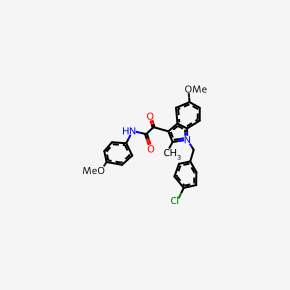 COc1ccc(NC(=O)C(=O)c2c(C)n(Cc3ccc(Cl)cc3)c3ccc(OC)cc23)cc1